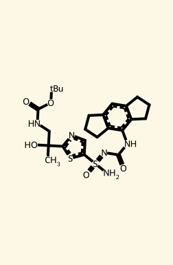 CC(C)(C)OC(=O)NCC(C)(O)c1ncc(S(N)(=O)=NC(=O)Nc2c3c(cc4c2CCC4)CCC3)s1